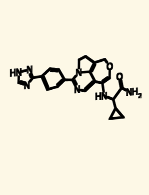 NC(=O)C(NC1=COCC2=C3C1=CN=C(c1ccc(-c4nc[nH]n4)cc1)N3CC2)C1CC1